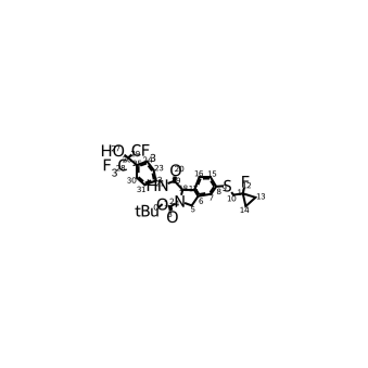 CC(C)(C)OC(=O)N1Cc2cc(SCC3(F)CC3)ccc2C1C(=O)Nc1ccc(C(O)(C(F)(F)F)C(F)(F)F)cc1